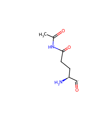 CC(=O)NC(=O)CC[C@H](N)[C]=O